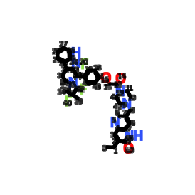 CCc1cc2ncc(CN3CCN(C(=O)COc4cc(F)c([C@@H]5c6[nH]c7ccccc7c6C[C@@H](C)N5CC(C)(C)F)c(F)c4)CC3)cc2[nH]c1=O